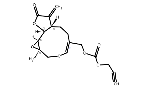 C#CCOC(=O)OC/C1=C/CC[C@@]2(C)O[C@H]2[C@H]2OC(=O)C(=C)[C@@H]2CC1